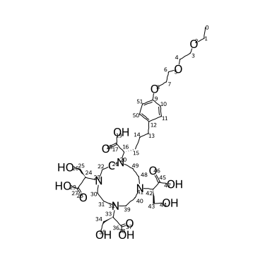 CCOCCOCCOc1ccc(CCC[C@@H](C(=O)O)N2CCN([C@H](CO)C(=O)O)CCN([C@H](CO)C(=O)O)CCN([C@H](CO)C(=O)O)CC2)cc1